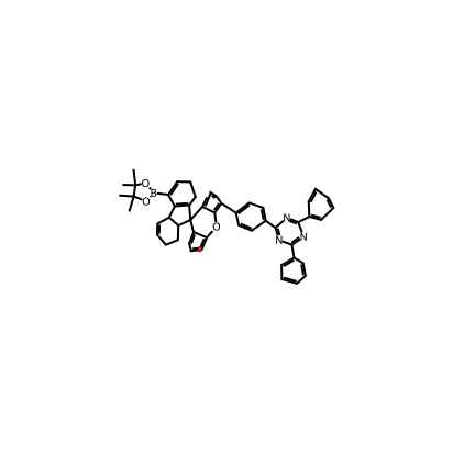 CC1(C)OB(C2=CCCC3=C2C2C=CCCC2C32c3ccccc3Oc3c(-c4ccc(-c5nc(-c6ccccc6)nc(-c6ccccc6)n5)cc4)cccc32)OC1(C)C